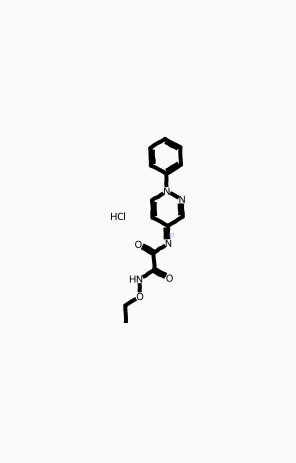 CCONC(=O)C(=O)/N=c1\ccn(-c2ccccc2)nc1.Cl